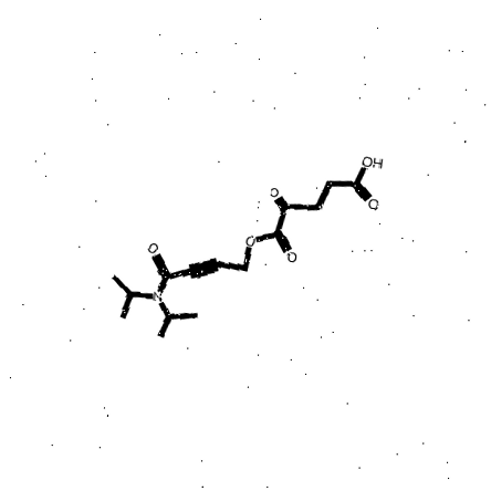 CC(C)N(C(=O)C#CCOC(=O)C(=O)CCC(=O)O)C(C)C